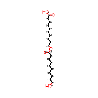 O=C(O)CCCCCCCCCOC(=O)CCCCCCCCCO